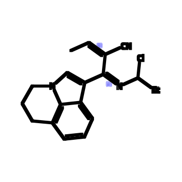 C/C=C(C#N)\C(=N/C(Cl)CC)c1cn2c3c(cccc13)CCC2